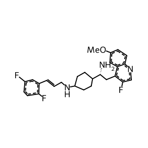 COc1ccc2ncc(F)c(C[C@@H](N)C3CCC(NC/C=C/c4cc(F)ccc4F)CC3)c2c1